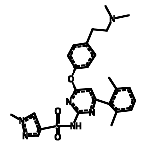 Cc1cccc(C)c1-c1cc(Oc2ccc(CCN(C)C)cc2)nc(NS(=O)(=O)c2cnn(C)c2)n1